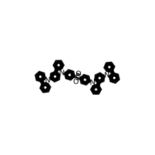 O=S(=O)(c1ccc(-n2c3ccccc3c3cc(-n4c5ccccc5c5ccccc54)ccc32)cc1)c1ccc(-n2c3ccccc3c3cc(-n4c5ccccc5c5ccccc54)ccc32)cc1